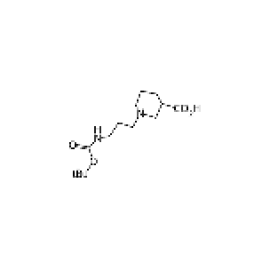 CC(C)(C)OC(=O)NCCCN1CCCC(C(=O)O)C1